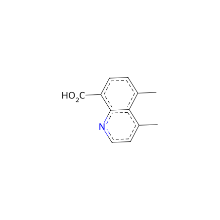 Cc1ccnc2c(C(=O)O)ccc(C)c12